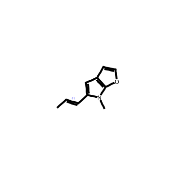 C/C=C/c1cc2ccoc2n1C